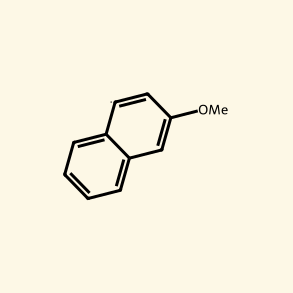 COc1c[c]c2ccccc2c1